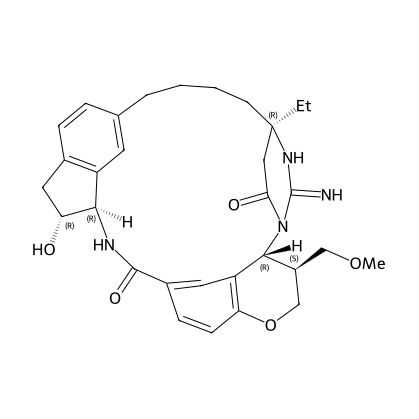 CC[C@]12CCCCc3ccc4c(c3)[C@@H](NC(=O)c3ccc5c(c3)[C@@H]([C@@H](COC)CO5)N(C(=N)N1)C(=O)C2)[C@H](O)C4